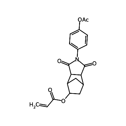 C=CC(=O)OC1CC2CC1C1C(=O)N(c3ccc(OC(C)=O)cc3)C(=O)C21